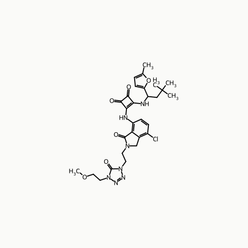 COCCn1nnn(CCN2Cc3c(Cl)ccc(Nc4c(NC(CC(C)(C)C)c5ccc(C)o5)c(=O)c4=O)c3C2=O)c1=O